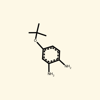 CC(C)(C)Oc1ccc(N)c(N)c1